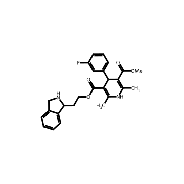 COC(=O)C1=C(C)NC(C)=C(C(=O)OCCC2NCc3ccccc32)C1c1cccc(F)c1